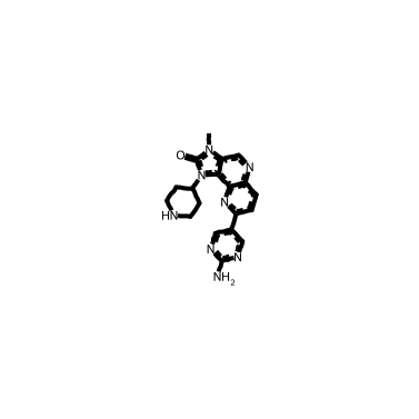 Cn1c(=O)n(C2CCNCC2)c2c3nc(-c4cnc(N)nc4)ccc3ncc21